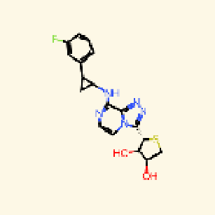 O[C@@H]1[C@H](O)CS[C@H]1c1nnc2c(NC3CC3c3cccc(F)c3)nccn12